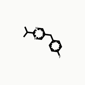 CC(C)c1ncc(Cc2ccc(F)cc2)cn1